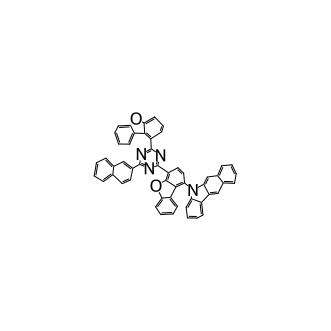 c1ccc2cc(-c3nc(-c4ccc(-n5c6ccccc6c6cc7ccccc7cc65)c5c4oc4ccccc45)nc(-c4cccc5oc6ccccc6c45)n3)ccc2c1